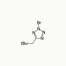 CC(C)(C)Cc1nnn(Br)n1